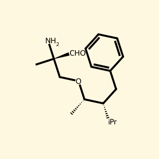 CC(C)[C@@H](Cc1ccccc1)[C@H](C)OC[C@](C)(N)C=O